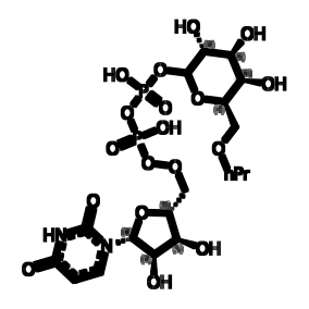 CCCOC[C@H]1OC(OP(=O)(O)OP(=O)(O)OOC[C@H]2O[C@@H](n3ccc(=O)[nH]c3=O)[C@H](O)[C@@H]2O)[C@H](O)[C@@H](O)[C@H]1O